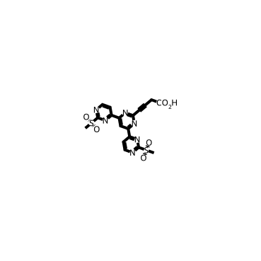 CS(=O)(=O)c1nccc(-c2cc(-c3ccnc(S(C)(=O)=O)n3)nc(C#CCC(=O)O)n2)n1